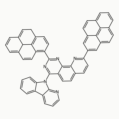 C1=CC2=CCc3ccc(-c4nc(-n5c6ccccc6c6cccnc65)c5ccc6ccc(-c7cc8ccc9cccc%10ccc(c7)c8c9%10)nc6c5n4)c4c3C2C(=C1)C=C4